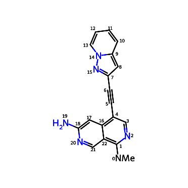 CNc1ncc(C#Cc2cc3ccccn3n2)c2cc(N)ncc12